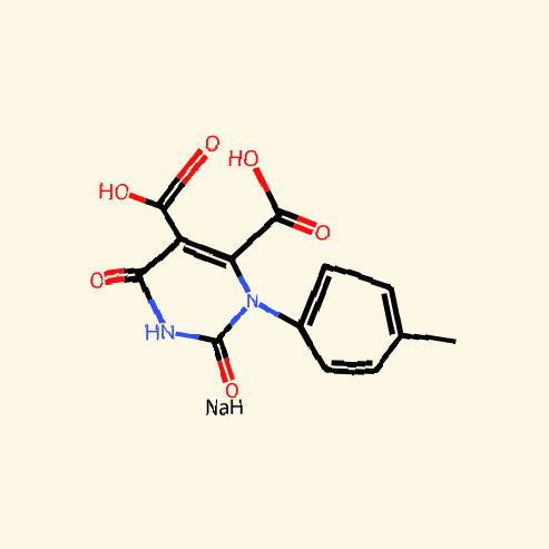 Cc1ccc(-n2c(C(=O)O)c(C(=O)O)c(=O)[nH]c2=O)cc1.[NaH]